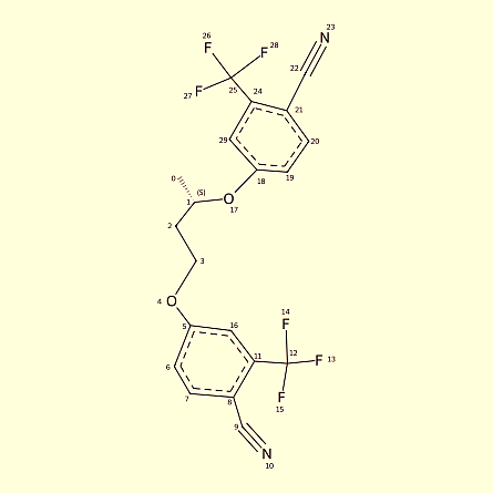 C[C@@H](CCOc1ccc(C#N)c(C(F)(F)F)c1)Oc1ccc(C#N)c(C(F)(F)F)c1